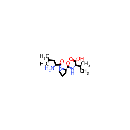 CC(C)C[C@H](N)C(=O)N1CCC[C@H]1C(=O)N[C@H](C(=O)O)C(C)C